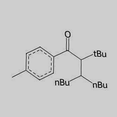 CCCCC(CCCC)C(C(=O)c1ccc(C)cc1)C(C)(C)C